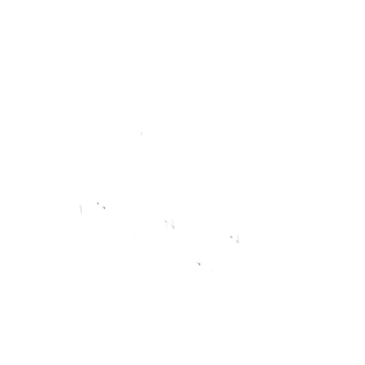 Cc1ccc(O[C@H]2CCN(c3ccc(Oc4ccccc4)cc3C(N)=O)C2)nc1